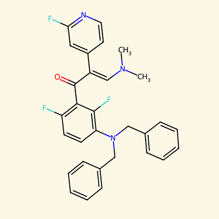 CN(C)C=C(C(=O)c1c(F)ccc(N(Cc2ccccc2)Cc2ccccc2)c1F)c1ccnc(F)c1